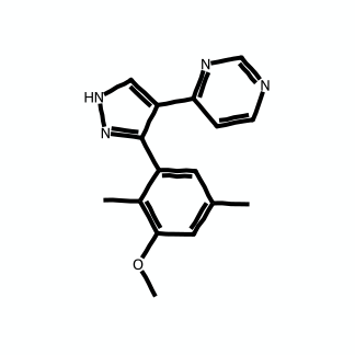 COc1cc(C)cc(-c2n[nH]cc2-c2ccncn2)c1C